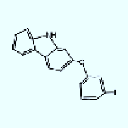 Ic1cccc(Oc2ccc3c(c2)[nH]c2ccccc23)c1